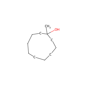 CC1(O)CCCCCCCCC1